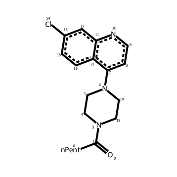 CCCCCC(=O)N1CCN(c2ccnc3cc(Cl)ccc23)CC1